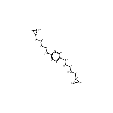 c1cc(OCCOCC2CO2)ccc1OCCOCC1CO1